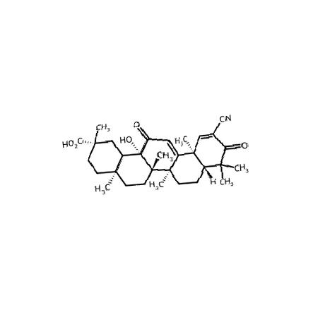 CC1(C)C(=O)C(C#N)=C[C@]2(C)C3=CC(=O)[C@]4(O)C5C[C@@](C)(C(=O)O)CC[C@]5(C)CC[C@@]4(C)[C@]3(C)CC[C@@H]12